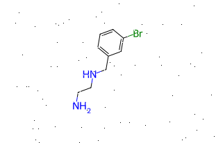 NCCNCc1cccc(Br)c1